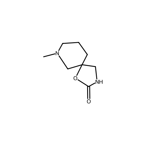 CN1CCCC2(CNC(=O)O2)C1